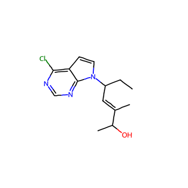 CCC(/C=C(\C)C(C)O)n1ccc2c(Cl)ncnc21